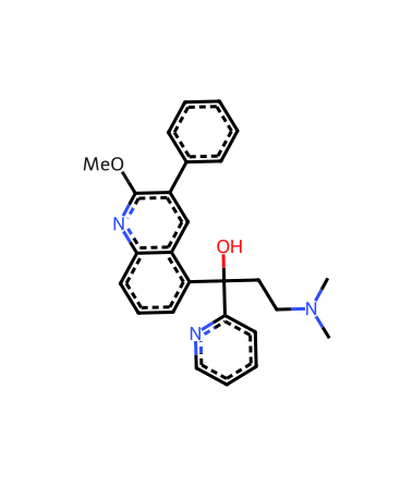 COc1nc2cccc(C(O)(CCN(C)C)c3ccccn3)c2cc1-c1ccccc1